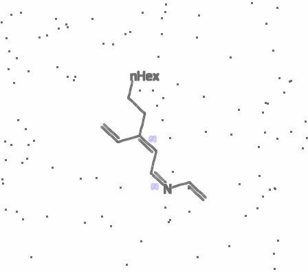 C=C/N=C\C=C(/C=C)CCCCCCCC